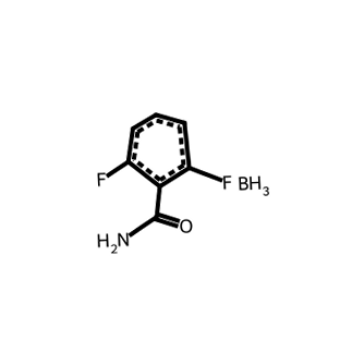 B.NC(=O)c1c(F)cccc1F